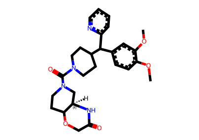 COc1ccc(C(c2ccccn2)C2CCN(C(=O)N3CCC4OCC(=O)N[C@@H]4C3)CC2)cc1OC